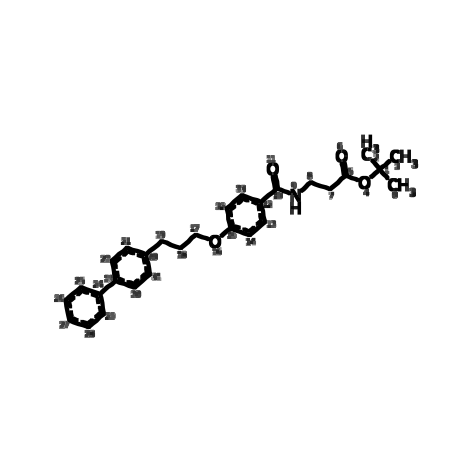 CC(C)(C)OC(=O)CCNC(=O)c1ccc(OCCCc2ccc(-c3ccccc3)cc2)cc1